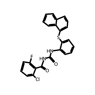 O=C(NC(=O)c1c(F)cccc1Cl)Nc1ccccc1Sc1cccc2ccccc12